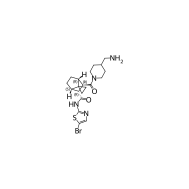 NCC1CCN(C(=O)[C@H]2[C@H](C(=O)Nc3ncc(Br)s3)[C@@H]3CC[C@H]2C32CC2)CC1